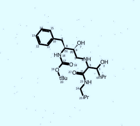 CCCC(O)C(NC[C@@H](O)[C@H](Cc1ccccc1)NC(=O)OC(C)(C)C)C(=O)NCC(C)C